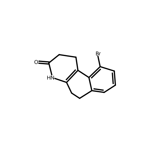 O=C1CCC2=C(CCc3cccc(Br)c32)N1